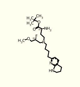 COC[C@@H](F)CN(CCCCc1ccc2c(n1)NCCC2)CC[C@H](N)C(=O)OC(C)(C)C